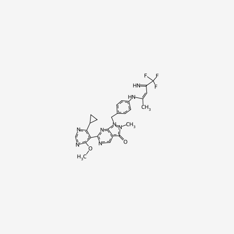 COc1ncnc(C2CC2)c1-c1ncc2c(=O)n(C)n(Cc3ccc(N/C(C)=C\C(=N)C(F)(F)F)cc3)c2n1